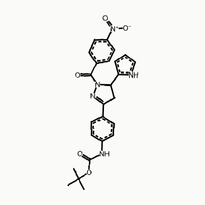 CC(C)(C)OC(=O)Nc1ccc(C2=NN(C(=O)c3ccc([N+](=O)[O-])cc3)C(c3ccc[nH]3)C2)cc1